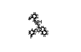 Fc1cccc(OCC2c3ccccc3CCN2CCCNCc2ccccc2F)c1